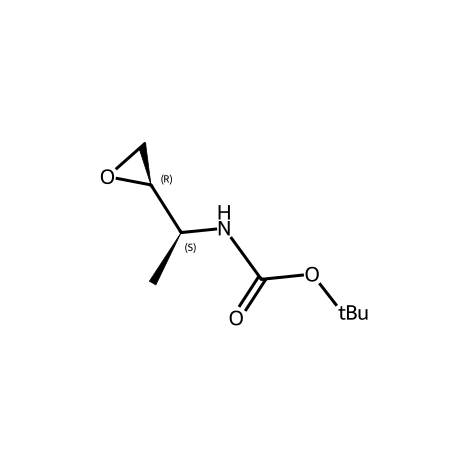 C[C@H](NC(=O)OC(C)(C)C)[C@@H]1CO1